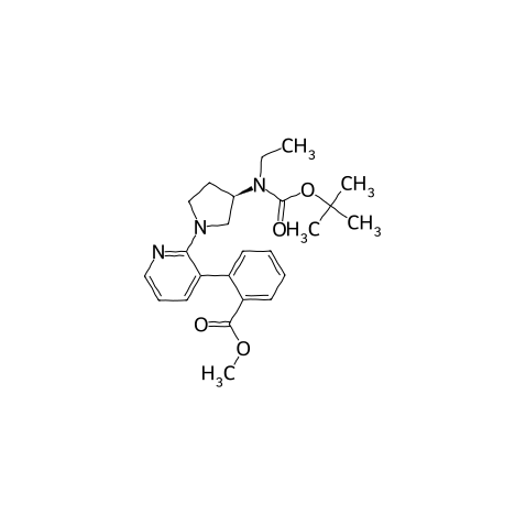 CCN(C(=O)OC(C)(C)C)[C@@H]1CCN(c2ncccc2-c2ccccc2C(=O)OC)C1